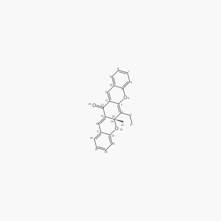 CCC1=C2Oc3ccccc3C=C2C(=O)C2=Cc3ccccc3O[C@]21C